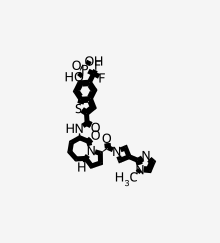 Cn1ccnc1C1CN(C(=O)[C@@H]2CC[C@@H]3CCC[C@H](NC(=O)c4cc5cc(C(F)(F)P(=O)(O)O)ccc5s4)C(=O)N32)C1